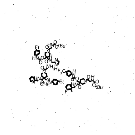 CCc1ccc(N(C=O)OCC2(C(=O)NCc3ccccn3)CCN(C(=O)CN)CC2)cc1.CCc1ccc(NC(=O)OCC2(C(=O)NCc3ncc[nH]3)CCN(C(=O)CNC(=O)OC(C)(C)C)CC2)cc1.Cc1c(F)cccc1CNC(=O)C1(COC(=O)Nc2ccc(C(F)(F)F)cc2)CCN(C(=O)CNC(=O)OC(C)(C)C)CC1